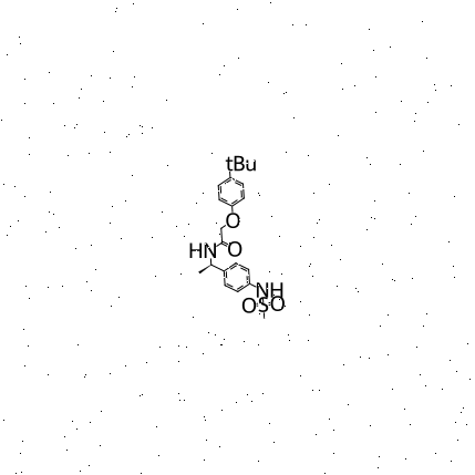 C[C@@H](NC(=O)COc1ccc(C(C)(C)C)cc1)c1ccc(NS(C)(=O)=O)cc1